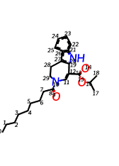 CCCCCCCCC(=O)N1C=C(C(=O)OC(C)C)c2[nH]c3ccccc3c2CC1